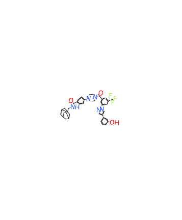 O=C(NCC12CC3CC(CC(C3)C1)C2)c1ccc(N2CCN(C(=O)c3cc(-n4cc(-c5cccc(O)c5)cn4)cc(C(F)(F)F)c3)CC2)cc1